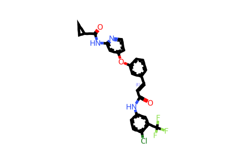 O=C(/C=C/c1cccc(Oc2ccnc(NC(=O)C3CC3)c2)c1)Nc1ccc(Cl)c(C(F)(F)F)c1